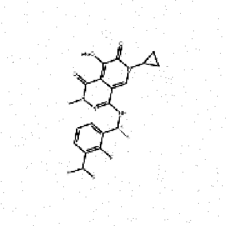 COc1c(=O)n(C2CC2)cc2c(N[C@H](C)c3cccc(C(F)F)c3F)nn(C)c(=O)c12